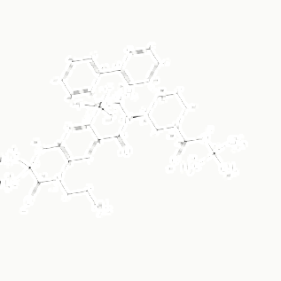 CC(C)N(C(=O)c1cc2c(cc1C(F)(F)F)OC(C)(C)C(=O)N2CCN)[C@@H]1CN(C(=O)OC(C)(C)C)CC[C@H]1c1cccc(-c2ccccc2)c1